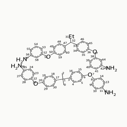 CC(C)(c1ccc(Oc2ccc(N)cc2)cc1)c1ccc(Oc2ccc(N)cc2)cc1.CCC(c1ccc(Oc2cccc(N)c2)cc1)c1ccc(Oc2cccc(N)c2)cc1